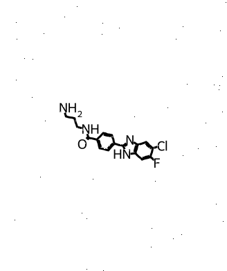 NCCCNC(=O)c1ccc(-c2nc3cc(Cl)c(F)cc3[nH]2)cc1